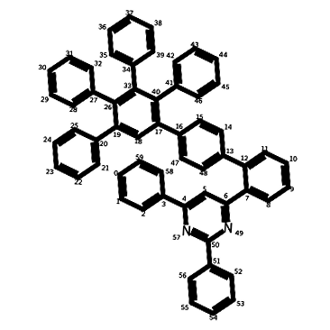 c1ccc(-c2cc(-c3ccccc3-c3ccc(-c4cc(-c5ccccc5)c(-c5ccccc5)c(-c5ccccc5)c4-c4ccccc4)cc3)nc(-c3ccccc3)n2)cc1